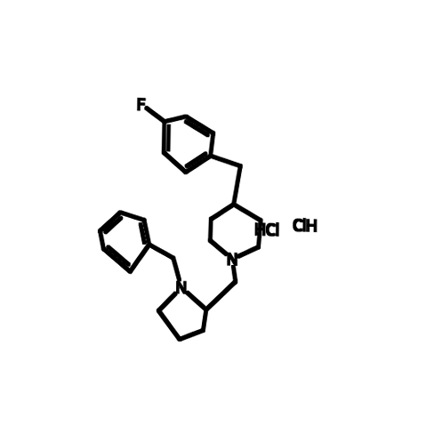 Cl.Cl.Fc1ccc(CC2CCN(CC3CCCN3Cc3ccccc3)CC2)cc1